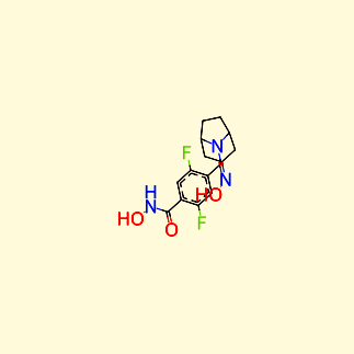 O=C(NO)c1cc(F)c(CN2C3CCC2CC(=NO)C3)cc1F